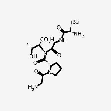 CC[C@H](C)[C@H](N)C(=O)NCC(=O)N(C(=O)[C@@H]1CCCN1C(=O)CN)[C@H](C(=O)O)[C@@H](C)O